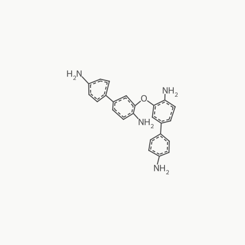 Nc1ccc(-c2ccc(N)c(Oc3cc(-c4ccc(N)cc4)ccc3N)c2)cc1